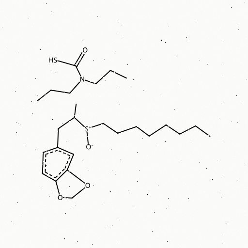 CCCCCCCC[S+]([O-])C(C)Cc1ccc2c(c1)OCO2.CCCN(CCC)C(=O)S